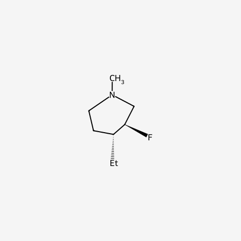 CC[C@@H]1CCN(C)C[C@H]1F